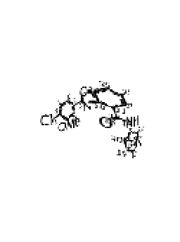 COc1cc(Cl)ccc1-c1nc2c(C(=O)NC3CN4CCC3CC4)cccc2o1